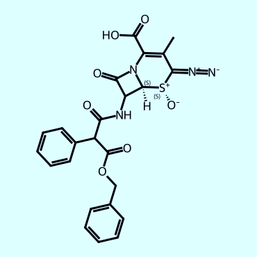 CC1=C(C(=O)O)N2C(=O)C(NC(=O)C(C(=O)OCc3ccccc3)c3ccccc3)[C@@H]2[S@@+]([O-])C1=[N+]=[N-]